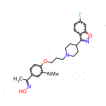 CNc1cc(C(C)=NO)ccc1OCCCN1CCC(c2noc3cc(F)ccc23)CC1